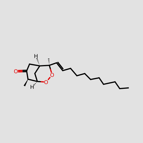 CCCCCCCCCC=C[C@@]1(C)OO[C@@H]2C[C@H]1CC(=O)[C@@H]2C